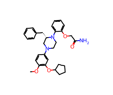 COc1ccc(N2CCN(c3ccccc3OCC(N)=O)[C@@H](Cc3ccccc3)C2)cc1OC1CCCC1